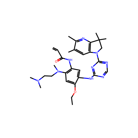 C=CC(=O)Nc1cc(Nc2ncnc(N3CC(C)(C)c4nc(C)c(C)cc43)n2)c(OCC)cc1N(C)CCN(C)C